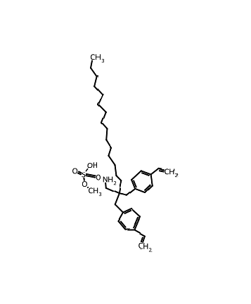 C=Cc1ccc(CC(CN)(CCCCCCCCCCCCCCC)Cc2ccc(C=C)cc2)cc1.COS(=O)(=O)O